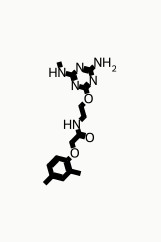 CNc1nc(N)nc(OCCNC(=O)COc2ccc(C)cc2C)n1